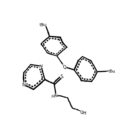 CC(C)(C)c1ccc(Oc2ccc(C(C)(C)C)cc2)cc1.OCCNC(=S)c1cnccn1